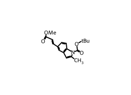 COC(=O)C=Cc1ccc2c(c1)cc(C)n2C(=O)OC(C)(C)C